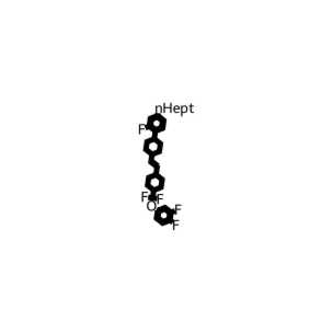 CCCCCCCc1ccc(C2CCC(/C=C/C3CCC(C(F)(F)Oc4ccc(F)c(F)c4)CC3)CC2)c(F)c1